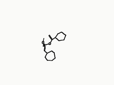 C=C(O[Si](=CC1CCCCCC1)OC)C1CCCCC1